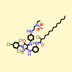 CCCCCCCCCCCCC(Cl)C(=O)Nc1cccc(NC2=[N+]([O-])N(c3c(Cl)cc(Cl)cc3Cl)C(=O)C2=Nc2ccc(NCCN(CC)S(C)(=O)=O)cc2)c1